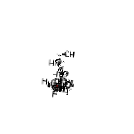 C#CC[C@@H]1CN[C@@H](COC(=O)N[C@@H](Cc2ccccc2)B2O[C@@H]3C[C@@H]4C[C@@H](C4(C)C)[C@]3(C)O2)C1